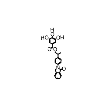 CC(COC(=O)c1cc(O)c(O)c(O)c1)c1ccc(N2Cc3ccccc3C2=O)cc1